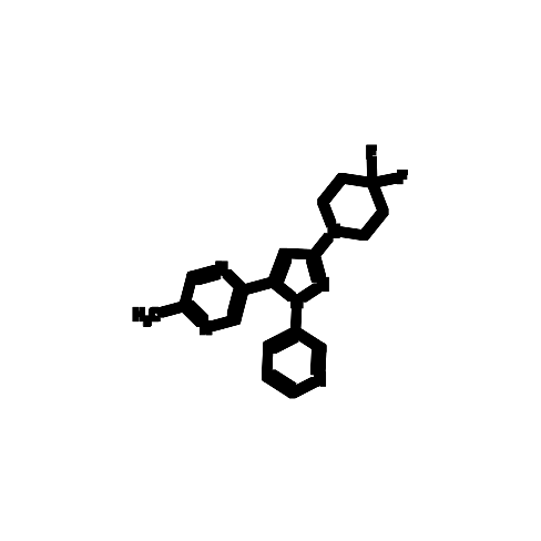 Cc1cnc(-c2cc(N3CCC(F)(F)CC3)nn2-c2cccnc2)cn1